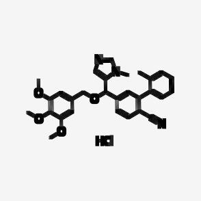 COc1cc(COC(c2ccc(C#N)c(-c3ccccc3C)c2)c2cncn2C)cc(OC)c1OC.Cl